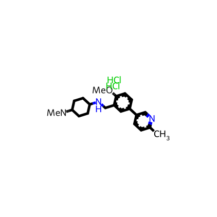 CNC1CCC(NCc2cc(-c3ccc(C)nc3)ccc2OC)CC1.Cl.Cl